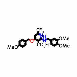 CCOC(=O)c1c(OCc2ccc(OC)cc2)cc(C(F)(F)F)nc1NCc1ccc(OC)c(OC)c1